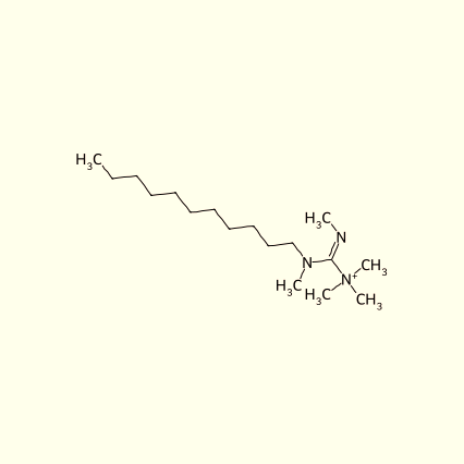 CCCCCCCCCCCN(C)/C(=N\C)[N+](C)(C)C